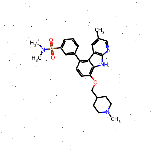 Cc1cnc2[nH]c3c(OCC4CCN(C)CC4)ccc(-c4cccc(S(=O)(=O)N(C)C)c4)c3c2c1